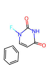 O=c1ccn(F)c(=O)[nH]1.c1ccccc1